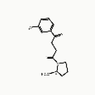 O=C(CCC(=O)N1CCC[C@H]1C(=O)O)c1cccc(C(F)(F)F)c1